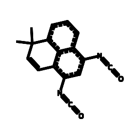 CC1(C)C=Cc2c(N=C=O)cc(N=C=O)c3cccc1c23